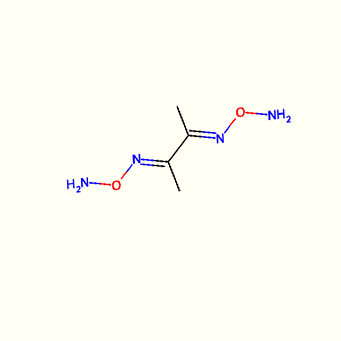 CC(=N\ON)/C(C)=N/ON